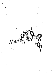 C#Cc1cc(F)c(COc2cccc(-c3cc(F)c(Cc4nc5ccc(C(=O)OC)cc5n4C[C@@H]4CCO4)cc3F)n2)cn1